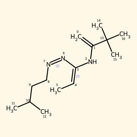 C=C(NC(=C/C)/N=N\CCC(C)C)C(C)(C)C